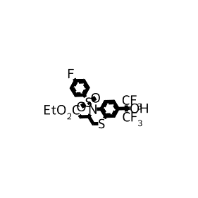 CCOC(=O)CC1CSc2cc(C(O)(C(F)(F)F)C(F)(F)F)ccc2N1S(=O)(=O)c1ccc(F)cc1